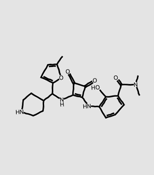 Cc1ccc(C(Nc2c(Nc3cccc(C(=O)N(C)C)c3O)c(=O)c2=O)C2CCNCC2)o1